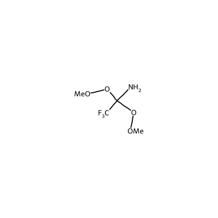 COOC(N)(OOC)C(F)(F)F